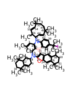 CC(C)=CC1=C2CN(C3CC=C4C(C3)C(C)(C)CCC4(C)C)c3oc4cc5c(cc4c3B2c2cc(C(C)(C)I)ccc2N1C1/C=C/C(C)(C)CCC(C)(C)/C=C/C1C)C(C)CCC5(C)C